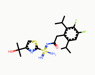 CC(C)c1cc(F)c(F)c(C(C)C)c1CC(=O)N=S(=N)(N)c1nc(C(C)(C)O)cs1